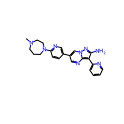 CN1CCCN(c2ccc(-c3cnc4c(-c5ccccn5)c(N)nn4c3)cn2)CC1